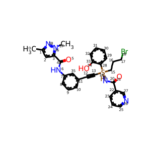 Cc1cc(C(=O)Nc2cccc(C#C[SH](CCCBr)(=NC(=O)c3cccnc3)c3ccccc3O)c2)n(C)n1